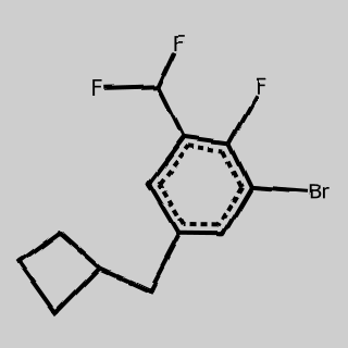 Fc1c(Br)cc(CC2CCC2)cc1C(F)F